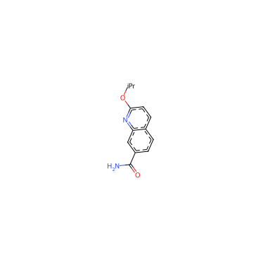 CC(C)Oc1ccc2ccc(C(N)=O)cc2n1